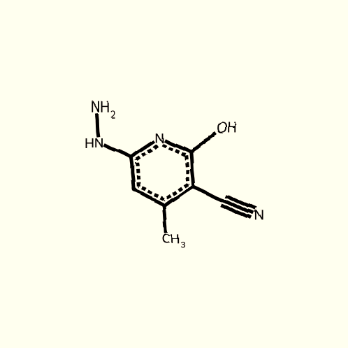 Cc1cc(NN)nc(O)c1C#N